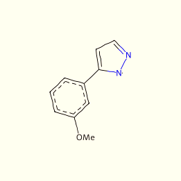 COc1cccc(C2=CC=N[N]2)c1